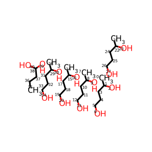 CC(O)CCCO.CC(O)CCCO.CC(O)CCCO.CC(O)CCCO.CC(O)CCCO.CCCC(O)O